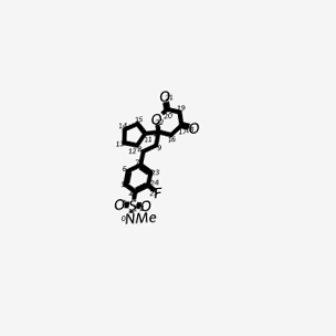 CNS(=O)(=O)c1ccc(CCC2(C3CCCC3)CC(=O)CC(=O)O2)cc1F